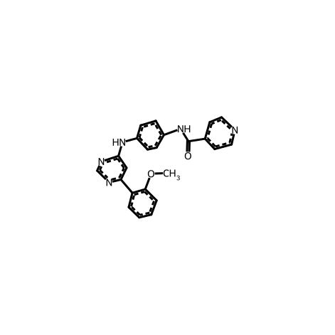 COc1ccccc1-c1cc(Nc2ccc(NC(=O)c3ccncc3)cc2)ncn1